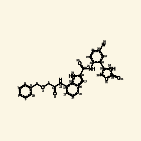 O=C(COCc1ccccc1)Nc1cccc2cc(C(=O)Nc3ccc(Br)cc3-c3noc(=O)[nH]3)[nH]c12